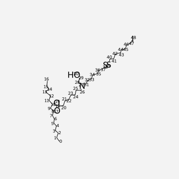 CCCCCCCCC(CCCCCCCC)OC(=O)CCCCCCCN(CCO)CCCCCCCSSCCCCCCCCI